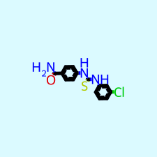 NC(=O)c1ccc(NC(=S)Nc2cccc(Cl)c2)cc1